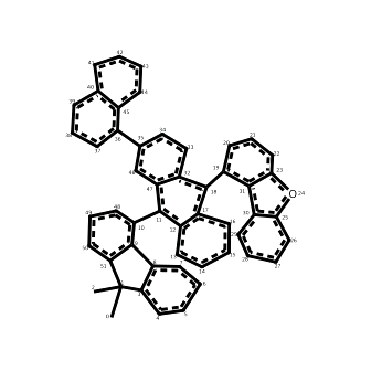 CC1(C)c2ccccc2-c2c(-c3c4ccccc4c(-c4cccc5oc6ccccc6c45)c4ccc(-c5cccc6ccccc56)cc34)cccc21